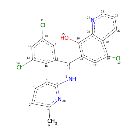 Cc1cccc(NC(c2cc(Cl)cc(Cl)c2)c2cc(Cl)c3cccnc3c2O)n1